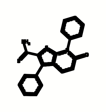 NC(=S)c1sc2c(ccc(=O)n2-c2ccccc2)c1-c1ccccc1